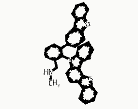 CNCc1cccc(-c2ccc3oc4ccccc4c3c2)c1-n1c2ccccc2c2c3sc4ccccc4c3ccc21